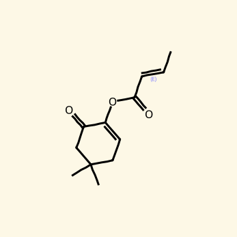 C/C=C/C(=O)OC1=CCC(C)(C)CC1=O